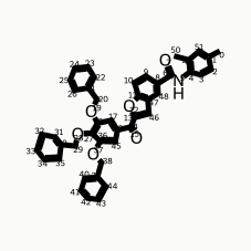 Cc1ccc(NC(=O)c2ccc3oc(C(=O)c4cc(OCc5ccccc5)c(OCc5ccccc5)c(OCc5ccccc5)c4)cc3c2)c(C)c1